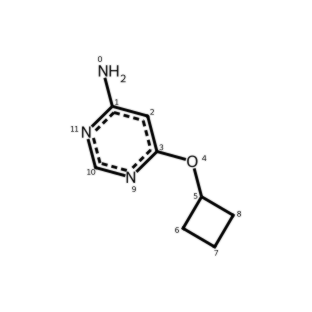 Nc1cc(OC2CCC2)ncn1